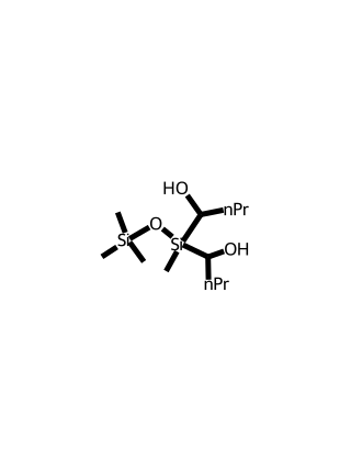 CCCC(O)[Si](C)(O[Si](C)(C)C)C(O)CCC